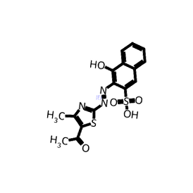 CC(=O)c1sc(/N=N/c2c(S(=O)(=O)O)cc3ccccc3c2O)nc1C